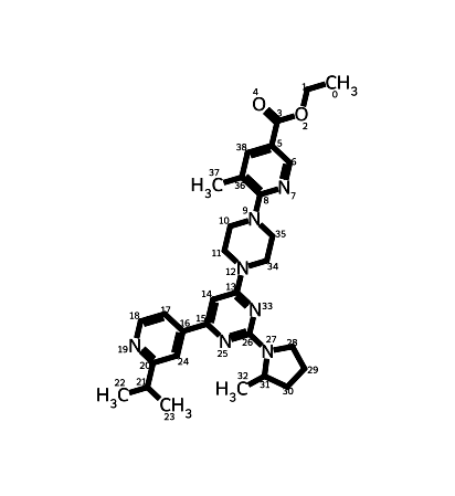 CCOC(=O)c1cnc(N2CCN(c3cc(-c4ccnc(C(C)C)c4)nc(N4CCCC4C)n3)CC2)c(C)c1